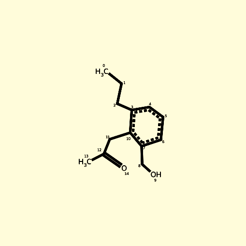 CCCc1cccc(CO)c1CC(C)=O